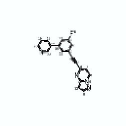 Fc1cc(C#Cc2ccn3nccc3n2)cc(-c2cccnc2)c1